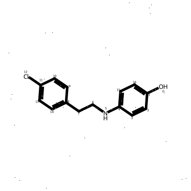 Oc1ccc(NCCc2ccc(Cl)cc2)cc1